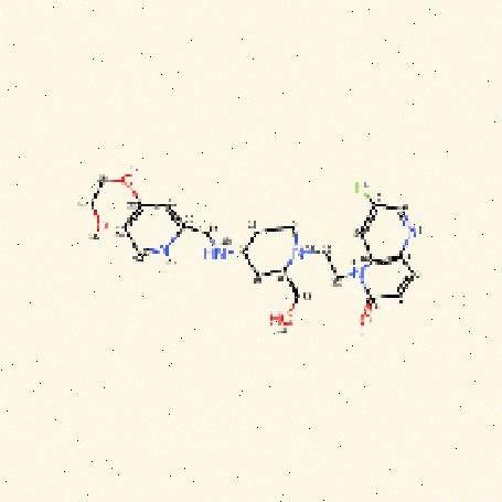 O=c1ccc2ncc(F)cc2n1CCN1CC[C@@H](NCc2cc3c(cn2)OCCO3)C[C@@H]1CO